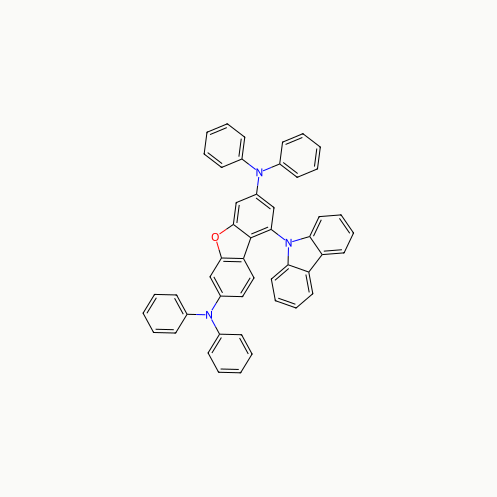 c1ccc(N(c2ccccc2)c2ccc3c(c2)oc2cc(N(c4ccccc4)c4ccccc4)cc(-n4c5ccccc5c5ccccc54)c23)cc1